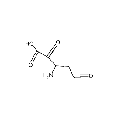 NC(CC=O)C(=O)C(=O)O